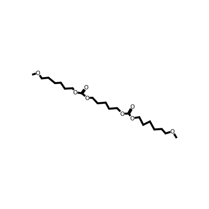 COCCCCCCOC(=O)OCCCCCOC(=O)OCCCCCCOC